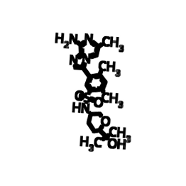 Cc1cn2c(-c3cc(S(=O)(=O)N[C@@H]4CCC(C(C)(C)O)OC4)c(C)cc3C)cnc2c(N)n1